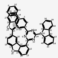 c1ccc(-c2ccc(-c3nc(-c4cccc5oc6ccc(-c7nc8ccccc8o7)cc6c45)nc(-n4c5ccccc5c5ccccc54)n3)cc2)cc1